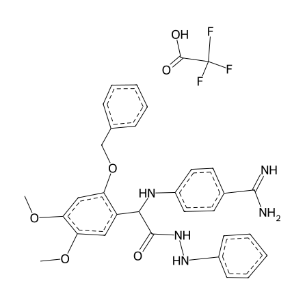 COc1cc(OCc2ccccc2)c(C(Nc2ccc(C(=N)N)cc2)C(=O)NNc2ccccc2)cc1OC.O=C(O)C(F)(F)F